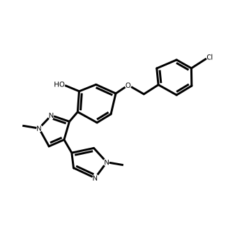 Cn1cc(-c2cn(C)nc2-c2ccc(OCc3ccc(Cl)cc3)cc2O)cn1